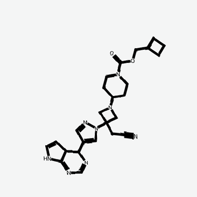 N#CCC1(n2cc(C3N=CN=C4NC=CC43)cn2)CN(C2CCN(C(=O)OCC3CCC3)CC2)C1